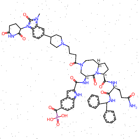 Cn1c(=O)n(C2CCC(=O)NC2=O)c2ccc(C3CCN(CCCC(=O)N4CC[C@H]5CC[C@@H](C(=O)N[C@@H](CCC(N)=O)C(=O)NC(c6ccccc6)c6ccccc6)N5C(=O)[C@@H](NC(=O)c5cc6cc(C(=O)P(=O)(O)O)ccc6[nH]5)C4)CC3)cc21